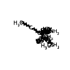 CCCCCCCCCCCCCCO[C@H]1[C@@H](O)[C@](C#N)(c2ccc3c(N)ncnn23)O[C@@H]1COP(=O)(N[C@H](C)C(=O)OCC(CC)CC)Oc1ccccc1